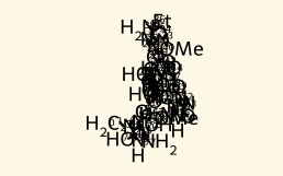 C=CC[n+]1cn([C@@H]2O[C@H](COP(=O)(O)OP(=O)(O)OP(=O)(O)OC[C@H]3O[C@@H](n4cnc5c4N=CCC(CC)=C5N)[C@H](OC)[C@@H]3OP(=O)(O)OC[C@H]3O[C@@H](n4cnc5c(=O)[nH]c(N)nc54)[C@H](O)[C@@H]3O)[C@@H](COC)[C@H]2O)c2c1C(O)NC(N)=N2